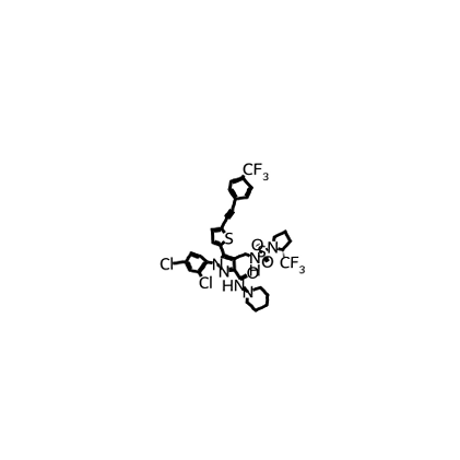 O=C(NN1CCCCC1)c1nn(-c2ccc(Cl)cc2Cl)c(-c2ccc(C#Cc3ccc(C(F)(F)F)cc3)s2)c1CNS(=O)(=O)N1CCC[C@@H]1C(F)(F)F